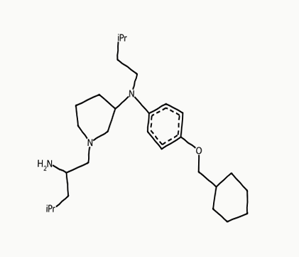 CC(C)CCN(c1ccc(OCC2CCCCC2)cc1)C1CCCN(CC(N)CC(C)C)C1